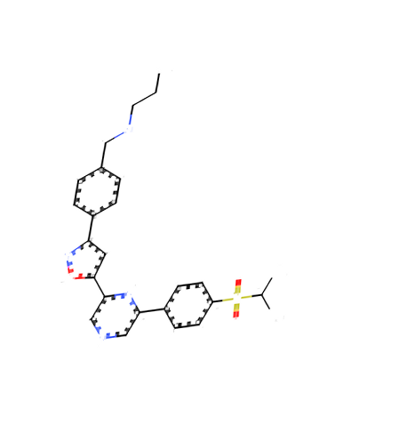 CCCNCc1ccc(-c2cc(-c3cncc(-c4ccc(S(=O)(=O)C(C)C)cc4)n3)on2)cc1